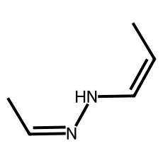 C/C=C\N/N=C\C